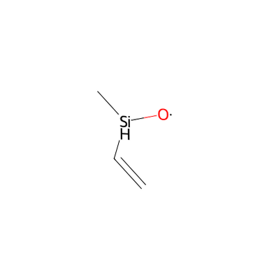 C=C[SiH](C)[O]